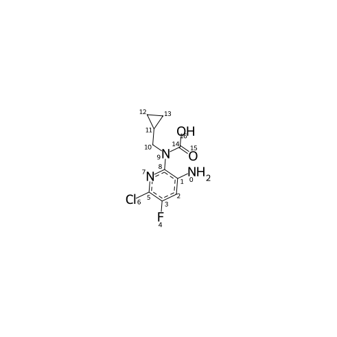 Nc1cc(F)c(Cl)nc1N(CC1CC1)C(=O)O